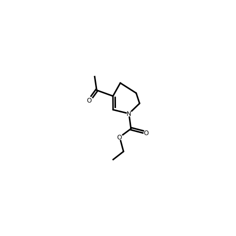 CCOC(=O)N1C=C(C(C)=O)CCC1